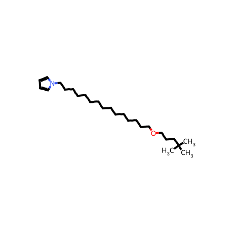 CC(C)(C)CCCOCCCCCCCCCCCCCCCn1cccc1